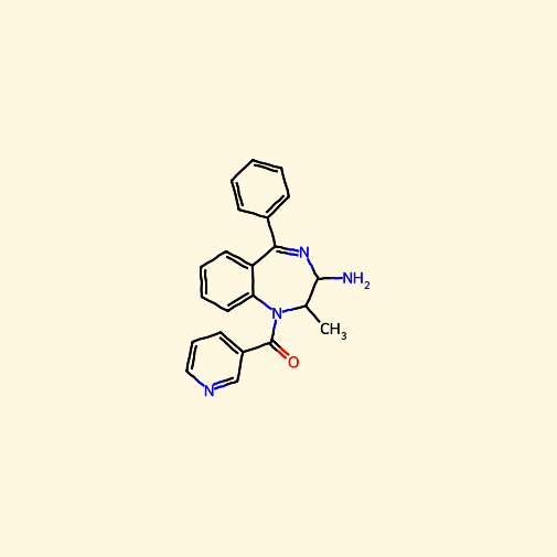 CC1C(N)N=C(c2ccccc2)c2ccccc2N1C(=O)c1cccnc1